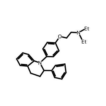 CCN(CC)CCOc1ccc(N2c3ccccc3CCC2c2ccccc2)cc1